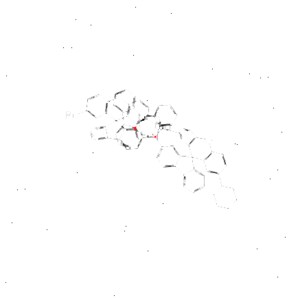 CC(C)(C)c1ccc2c(c1)C1(c3cc(C(C)(C)C)ccc3O2)c2ccccc2-c2ccc(N(c3ccc4c(c3)C3(c5cc(C6CCCCC6)ccc5Oc5ccc(C6CCCCC6)cc53)c3ccccc3-4)c3ccccc3-n3c4ccccc4c4ccccc43)cc21